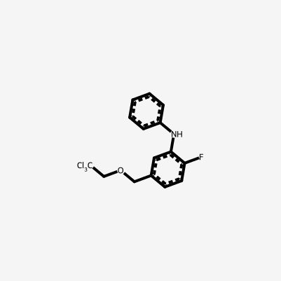 Fc1ccc(COCC(Cl)(Cl)Cl)cc1Nc1ccccc1